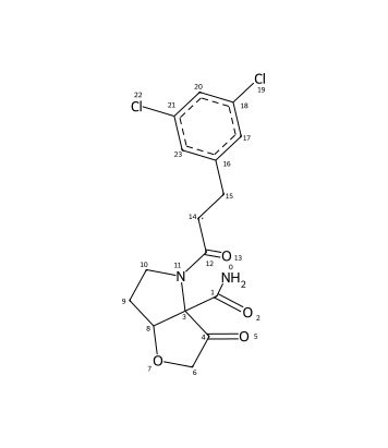 NC(=O)C12C(=O)COC1CCN2C(=O)[CH]Cc1cc(Cl)cc(Cl)c1